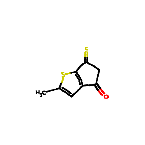 Cc1cc2c(s1)C(=S)CC2=O